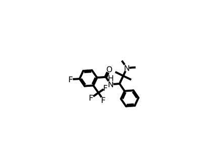 CN(C)C(C)(C)C(NC(=O)c1ccc(F)cc1C(F)(F)F)c1ccccc1